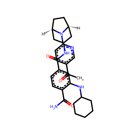 CC(=O)c1ccc(N2[C@@H]3CC[C@H]2C[C@@H](NC(=O)c2ccc(C(N)=O)c(NC4CCCCC4)c2)C3)nc1